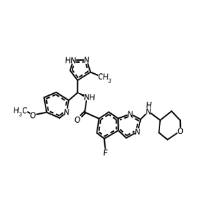 COc1ccc([C@H](NC(=O)c2cc(F)c3cnc(NC4CCOCC4)nc3c2)c2c[nH]nc2C)nc1